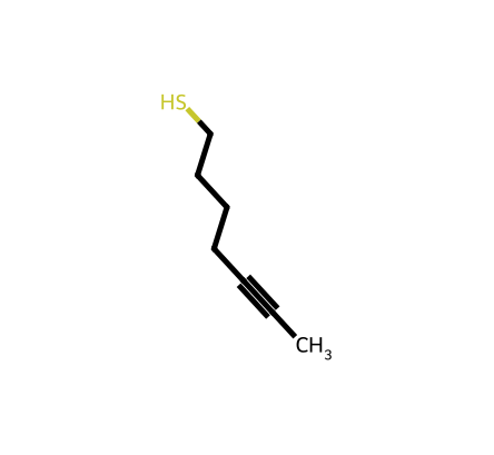 CC#CCCCCS